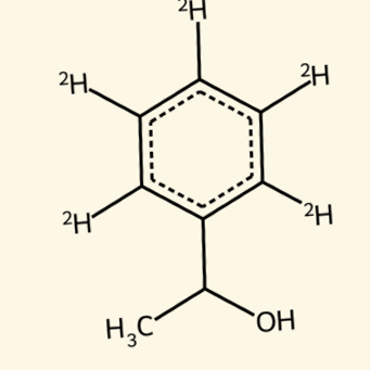 [2H]c1c([2H])c([2H])c(C(C)O)c([2H])c1[2H]